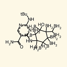 BC(B)C1(B)C(B)(B)C(B)(B)C(B)(Nc2nc(NC(C)(C)C)ncc2C(N)=O)C(B)(B)C1(B)O